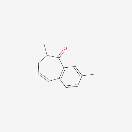 Cc1ccc2c(c1)C(=O)C(C)CC=C2